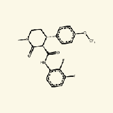 CN1CC[C@H](c2ccc(OC(F)(F)F)cc2)[C@@H](C(=O)Nc2cccc(F)c2F)C1=O